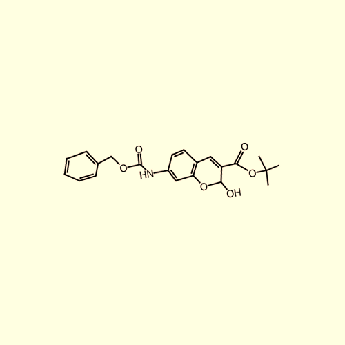 CC(C)(C)OC(=O)C1=Cc2ccc(NC(=O)OCc3ccccc3)cc2OC1O